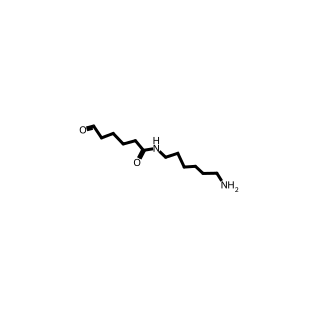 NCCCCCCNC(=O)CCCCC=O